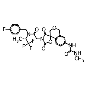 CNC(=O)Nc1ccc2c(c1)COC[C@]21OC(=O)N(CC(=O)N(Cc2ccc(F)cc2)[C@@H](C)C(F)(F)F)C1=O